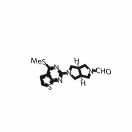 CSc1nc(N2C[C@H]3CN(C=O)C[C@H]3C2)nc2sccc12